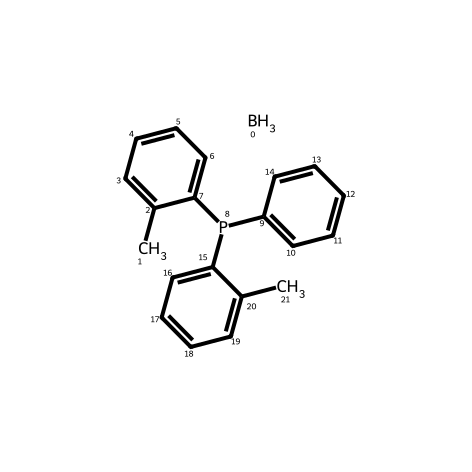 B.Cc1ccccc1P(c1ccccc1)c1ccccc1C